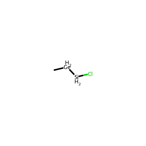 [CH3][GeH2][SiH2]Cl